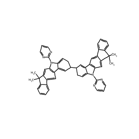 CC1(C)c2ccccc2-c2cc3c4c(n(-c5ncccn5)c3cc21)=CCC(C1C=c2c(n(-c3ncccn3)c3cc5c(cc23)-c2ccccc2C5(C)C)=CC1)C=4